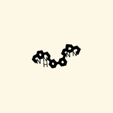 C1=CC(c2cccc(-c3cccc(-c4ccc5ccc6cccnc6c5n4)c3)c2)Nc2c1ccc1cccnc21